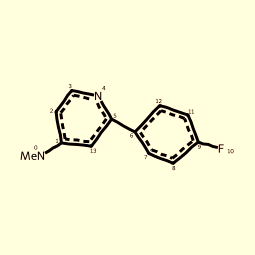 CNc1ccnc(-c2ccc(F)cc2)c1